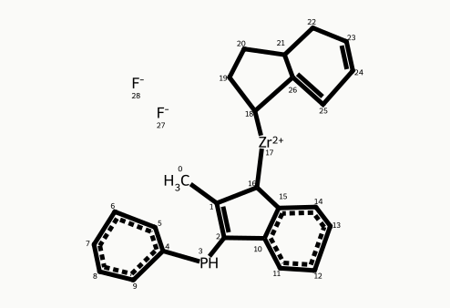 CC1=C(Pc2ccccc2)c2ccccc2[CH]1[Zr+2][CH]1CCC2CC=CC=C21.[F-].[F-]